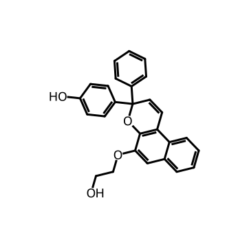 OCCOc1cc2ccccc2c2c1OC(c1ccccc1)(c1ccc(O)cc1)C=C2